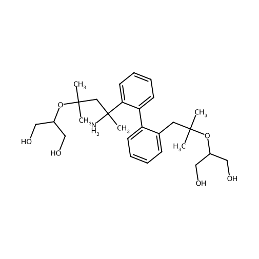 CC(C)(Cc1ccccc1-c1ccccc1C(C)(N)CC(C)(C)OC(CO)CO)OC(CO)CO